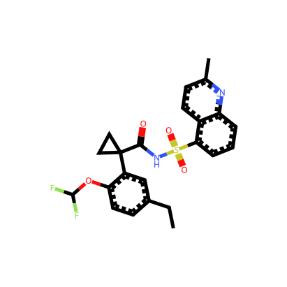 CCc1ccc(OC(F)F)c(C2(C(=O)NS(=O)(=O)c3cccc4nc(C)ccc34)CC2)c1